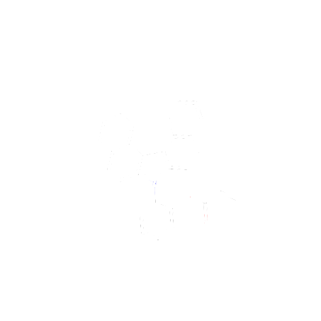 C=CC(=O)Oc1ccccc1-n1c2ccc3ccccc3c2c2c3ccccc3ccc21